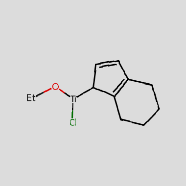 CC[O][Ti]([Cl])[CH]1C=CC2=C1CCCC2